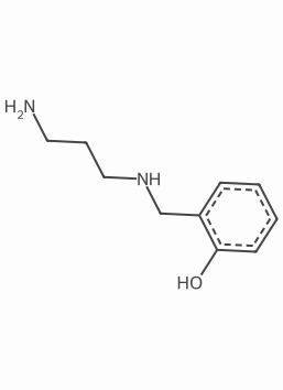 NCCCNCc1ccccc1O